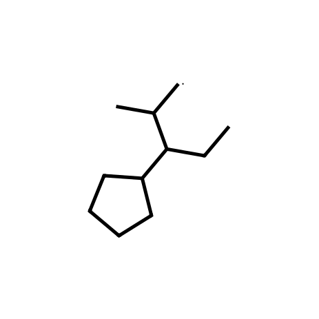 [CH2]C(C)C(CC)C1CCCC1